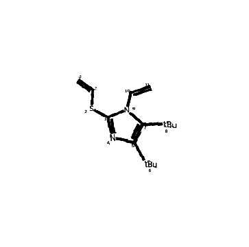 C=CSc1nc(C(C)(C)C)c(C(C)(C)C)n1C=C